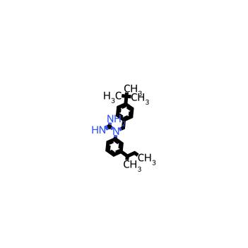 CCC(C)c1cccc(N(Cc2ccc(C(C)(C)C)cc2)C(=N)N)c1